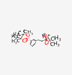 CC(C)(C)OC(=O)CCc1cccc(B2OC(C)(C)C(C)(C)O2)c1